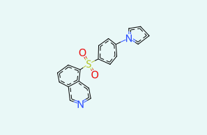 O=S(=O)(c1ccc(-n2cccc2)cc1)c1cccc2cnccc12